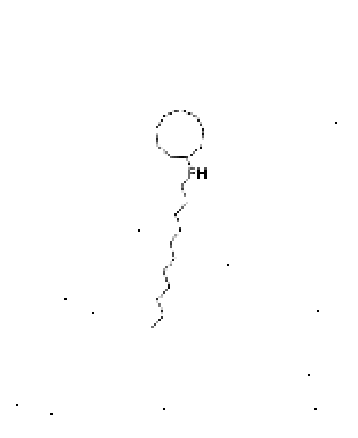 CCCCCCCCCCCPC1CCCCCCCC1